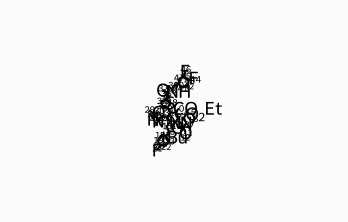 CCOC(=O)c1c([C@@H]2COCCN2C(=O)OC(C)(C)C)nc(CCc2ccc(F)cc2)c(-c2nnc(C)o2)c1-c1ccc(C(=O)NCc2ccc(F)c(F)c2)s1